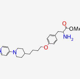 COC(=O)C(N)Cc1ccc(OCCCCC2CCN(c3ccncc3)CC2)cc1